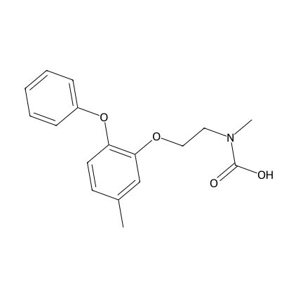 Cc1ccc(Oc2ccccc2)c(OCCN(C)C(=O)O)c1